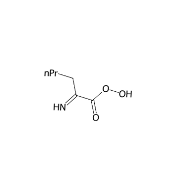 CCCCC(=N)C(=O)OO